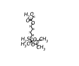 C=CC(=O)OCCCC[SiH2]C(C)(OCC)OCC